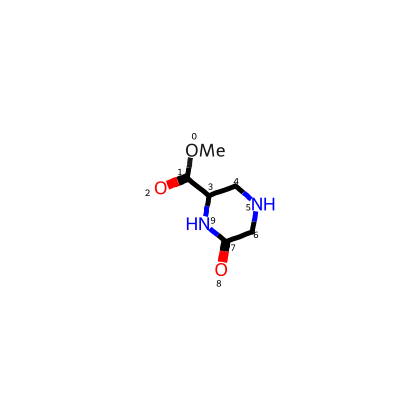 COC(=O)C1CNCC(=O)N1